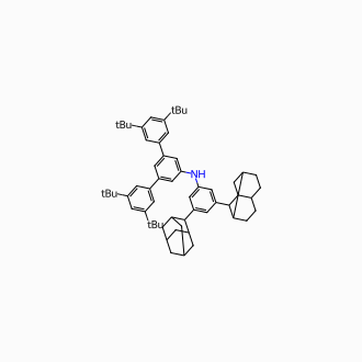 CC(C)(C)c1cc(-c2cc(Nc3cc(C4C5CC6CC(C5)CC4C6)cc(C4C5CCC6CCC5CC64)c3)cc(-c3cc(C(C)(C)C)cc(C(C)(C)C)c3)c2)cc(C(C)(C)C)c1